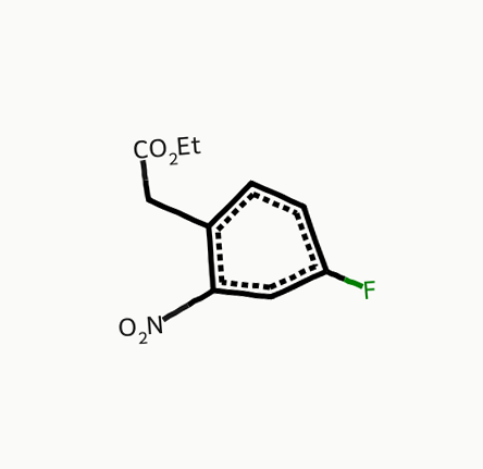 CCOC(=O)Cc1ccc(F)cc1[N+](=O)[O-]